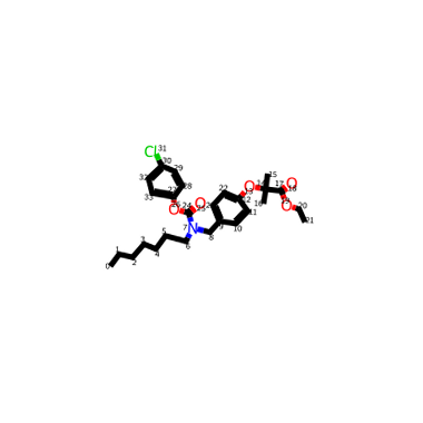 CCCCCCCN(Cc1ccc(OC(C)(C)C(=O)OCC)cc1)C(=O)Oc1ccc(Cl)cc1